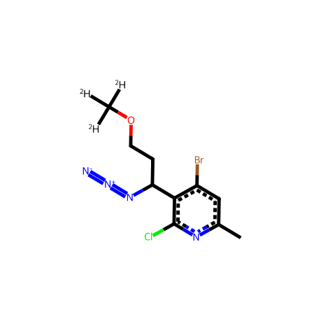 [2H]C([2H])([2H])OCCC(N=[N+]=[N-])c1c(Br)cc(C)nc1Cl